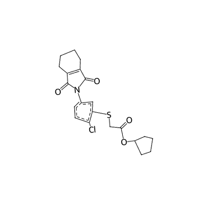 O=C(CSc1cc(N2C(=O)C3=C(CCCC3)C2=O)ccc1Cl)OC1CCCC1